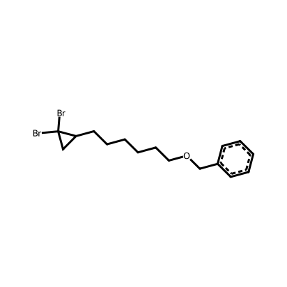 BrC1(Br)CC1CCCCCCOCc1ccccc1